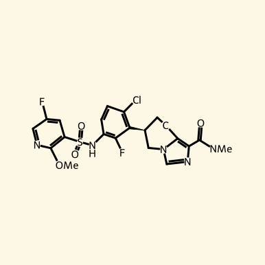 CNC(=O)c1ncn2c1CC[C@H](c1c(Cl)ccc(NS(=O)(=O)c3cc(F)cnc3OC)c1F)C2